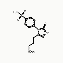 CCCCCCCCCCCCCc1n[nH]c(=S)n1-c1ccc(S(N)(=O)=O)cc1